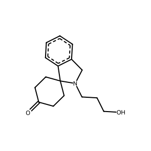 O=C1CCC2(CC1)c1ccccc1CN2CCCO